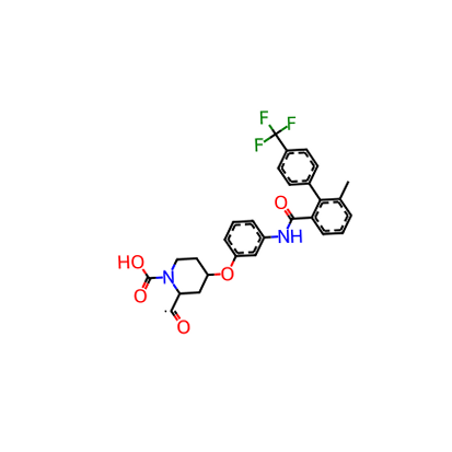 Cc1cccc(C(=O)Nc2cccc(OC3CCN(C(=O)O)C([C]=O)C3)c2)c1-c1ccc(C(F)(F)F)cc1